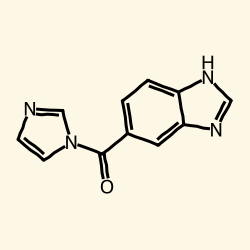 O=C(c1ccc2[nH]cnc2c1)n1ccnc1